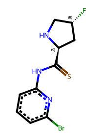 F[C@H]1CN[C@H](C(=S)Nc2cccc(Br)n2)C1